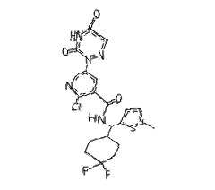 Cc1ccc(C(NC(=O)c2cc(-n3ncc(=O)[nH]c3=O)cnc2Cl)C2CCC(F)(F)CC2)s1